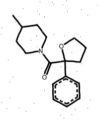 CC1CCN(C(=O)C2(c3ccccc3)CCCO2)CC1